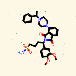 COc1ccc(C(CCCS(N)(=O)=O)N2C(=O)c3cccc(N4CCN(C(C)c5ccccc5)CC4)c3C2=O)cc1OC